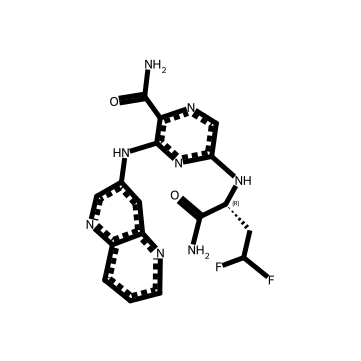 NC(=O)c1ncc(N[C@H](CC(F)F)C(N)=O)nc1Nc1cnc2cccnc2c1